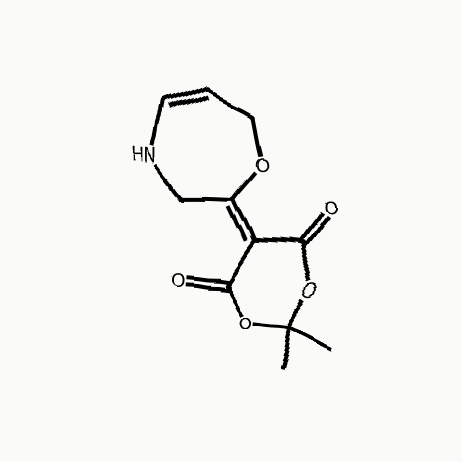 CC1(C)OC(=O)C(=C2CNC=CCO2)C(=O)O1